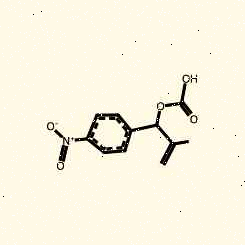 C=C(C)C(OC(=O)O)c1ccc([N+](=O)[O-])cc1